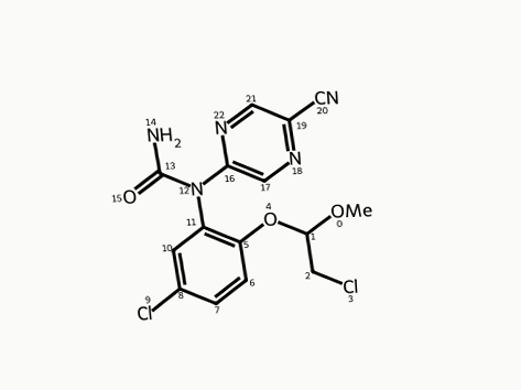 COC(CCl)Oc1ccc(Cl)cc1N(C(N)=O)c1cnc(C#N)cn1